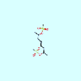 CC(CCCCC(C)OS(C)(=O)=O)OS(C)(=O)=O